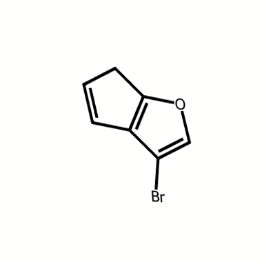 Brc1coc2c1C=CC2